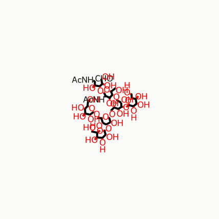 CC(=O)NC(C=O)C(O)C(OC1OC(CO)C(OC2OC(COC3OC(COC4OC(CO)C(O)C(O)C4O)C(O)C(OC4OC(CO)C(O)C(O)C4O)C3O)C(O)C(OC3OC(CO)C(O)C(O)C3O)C2O)C(O)C1NC(C)=O)C(O)CO